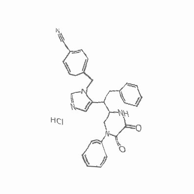 Cl.N#Cc1ccc(Cn2cncc2C(Cc2ccccc2)C2CN(c3ccccc3)C(=O)C(=O)N2)cc1